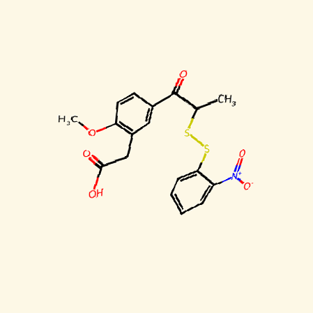 COc1ccc(C(=O)C(C)SSc2ccccc2[N+](=O)[O-])cc1CC(=O)O